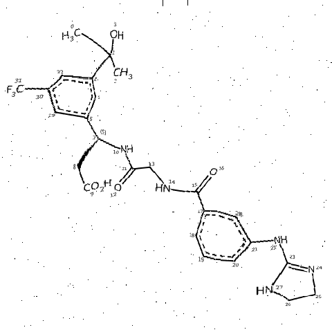 CC(C)(O)c1cc([C@H](CC(=O)O)NC(=O)CNC(=O)c2cccc(NC3=NCCN3)c2)cc(C(F)(F)F)c1